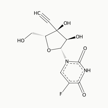 C#C[C@@]1(O)[C@@H](CO)O[C@@H](n2cc(F)c(=O)[nH]c2=O)[C@@H]1O